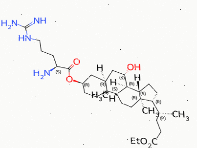 CCOC(=O)CC[C@@H](C)[C@H]1CC[C@H]2[C@@H]3[C@@H](O)C[C@@H]4C[C@H](OC(=O)[C@@H](N)CCCNC(=N)N)CC[C@]4(C)[C@H]3CC[C@]12C